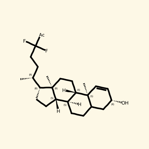 CC(=O)C(F)(F)CC[C@@H](C)[C@H]1CC[C@H]2[C@@H]3CCC4C[C@@H](O)C=C[C@]4(C)[C@H]3CC[C@]12C